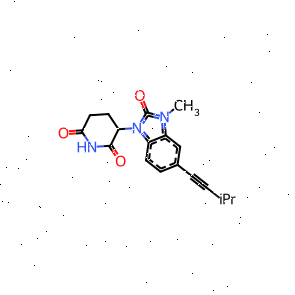 CC(C)C#Cc1ccc2c(c1)n(C)c(=O)n2C1CCC(=O)NC1=O